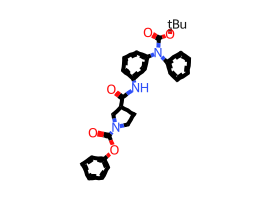 CC(C)(C)OC(=O)N(c1ccccc1)c1cccc(NC(=O)C2CCN(C(=O)Oc3ccccc3)C2)c1